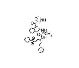 C[C@H](Nc1cc(C(=O)C2CNCCO2)c2ccccc2c1)C(=O)N[C@H](C=CS(=O)(=O)c1ccccc1)CCc1ccccc1